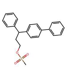 CS(=O)(=O)OCCC(c1ccccc1)c1ccc(-c2ccccc2)cc1